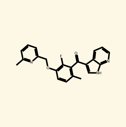 Cc1cccc(COc2ccc(C)c(C(=O)c3c[nH]c4ncccc34)c2F)n1